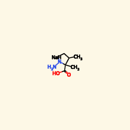 CC1CCN(N)C1(C)C(=O)O.[NaH]